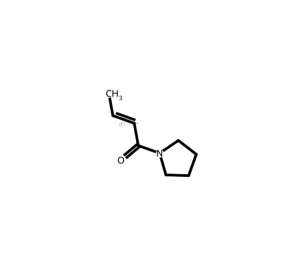 C/C=[C]/C(=O)N1CCCC1